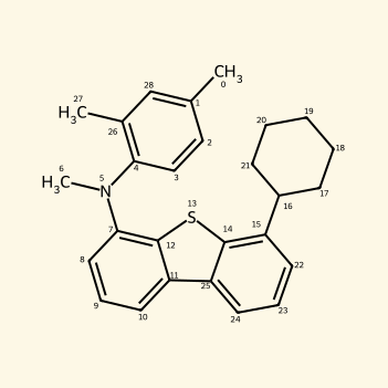 Cc1ccc(N(C)c2cccc3c2sc2c(C4CCCCC4)cccc23)c(C)c1